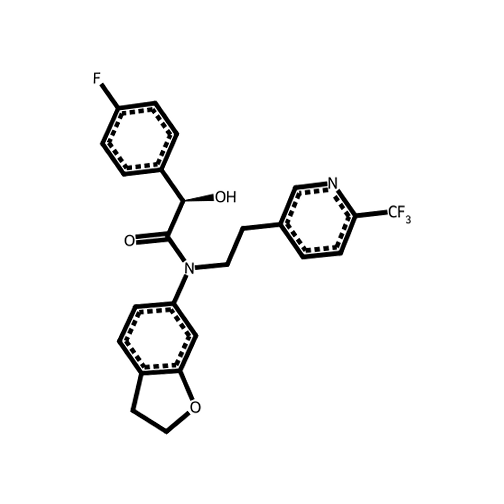 O=C([C@H](O)c1ccc(F)cc1)N(CCc1ccc(C(F)(F)F)nc1)c1ccc2c(c1)OCC2